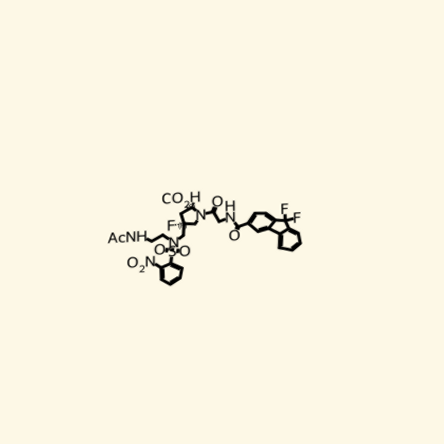 CC(=O)NCCN(C[C@@]1(F)C[C@@H](C(=O)O)N(C(=O)CNC(=O)c2ccc3c(c2)-c2ccccc2C3(F)F)C1)S(=O)(=O)c1ccccc1[N+](=O)[O-]